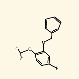 Fc1ccc(OC(F)F)c(OCc2ccccc2)c1